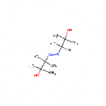 CC(C)(O)C(C)(C#N)N=NC(C)(C#N)C(C)(C)O